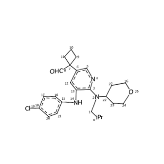 CC(C)CN(c1ncc(C2(C=O)CCC2)cc1Nc1ccc(Cl)cc1)C1CCOCC1